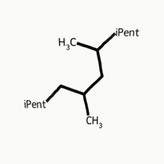 [CH2]CCC(C)C(C)CC(C)CC(C)CCC